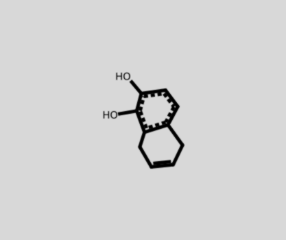 Oc1ccc2c(c1O)CC=CC2